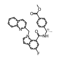 COC(=O)c1ccc([C@H](C)NC(=O)c2cc(F)cc3ccn(Cc4ccc5ccccc5n4)c23)cc1